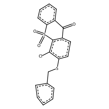 O=C1c2ccccc2S(=O)(=O)c2c1ccc(SCc1ccccc1)c2Cl